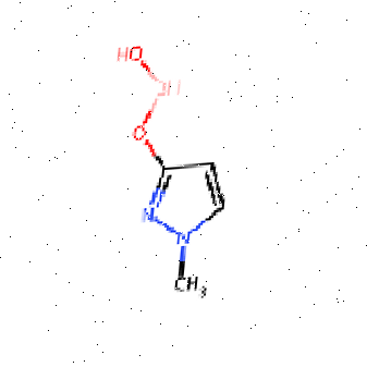 Cn1ccc(OBO)n1